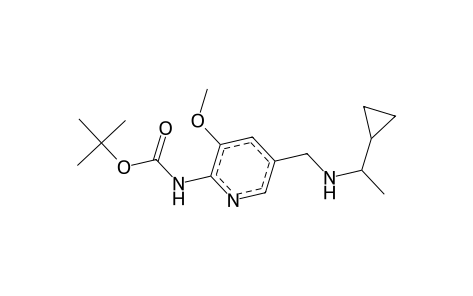 COc1cc(CNC(C)C2CC2)cnc1NC(=O)OC(C)(C)C